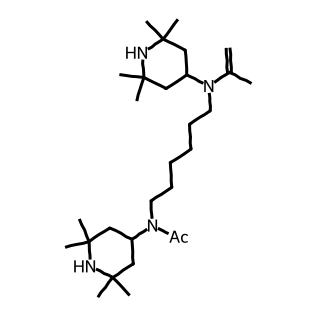 C=C(C)N(CCCCCCN(C(C)=O)C1CC(C)(C)NC(C)(C)C1)C1CC(C)(C)NC(C)(C)C1